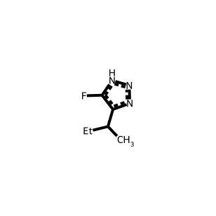 CCC(C)c1nn[nH]c1F